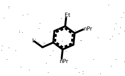 CCCc1cc(CCC)c(CI)cc1CC